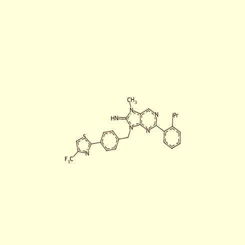 CC(C)c1ccccc1-c1ncc2c(n1)n(Cc1ccc(-c3nc(C(F)(F)F)cs3)cc1)c(=N)n2C